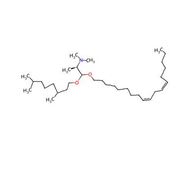 CCCCC/C=C\C/C=C\CCCCCCCCOC(OCCC(C)CCCC(C)C)[C@@H](C)N(C)C